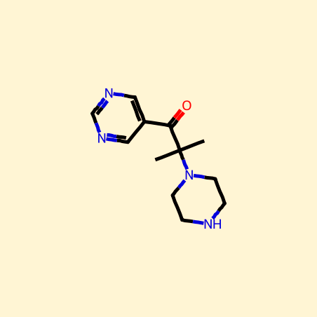 CC(C)(C(=O)c1cncnc1)N1CCNCC1